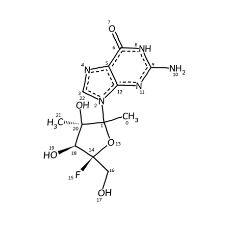 CC1(n2cnc3c(=O)[nH]c(N)nc32)O[C@](F)(CO)[C@@H](O)[C@@]1(C)O